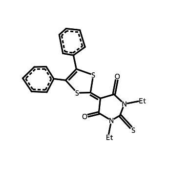 CCN1C(=O)C(=C2SC(c3ccccc3)=C(c3ccccc3)S2)C(=O)N(CC)C1=S